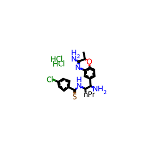 CCCC(NC(=S)c1ccc(Cl)cc1)C(N)c1ccc2c(c1)N=C(N)C(C)O2.Cl.Cl